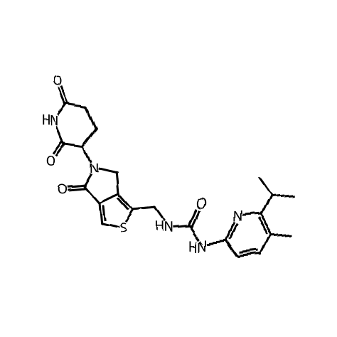 Cc1ccc(NC(=O)NCc2scc3c2CN(C2CCC(=O)NC2=O)C3=O)nc1C(C)C